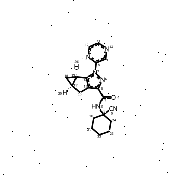 N#CC1(NC(=O)c2nn(-c3cnccn3)c3c2C[C@H]2C[C@@H]32)CCCCC1